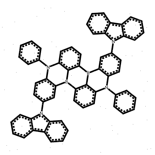 c1ccc(N2c3ccc(-n4c5ccccc5c5ccccc54)cc3B3c4cccc5c4B(c4cc(-n6c7ccccc7c7ccccc76)ccc4N5c4ccccc4)c4cccc2c43)cc1